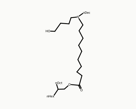 CCCCCCCCCCN(CCCCO)CCCCCCCCCC(=O)OCC(CCCCCC)CCCCCCCC